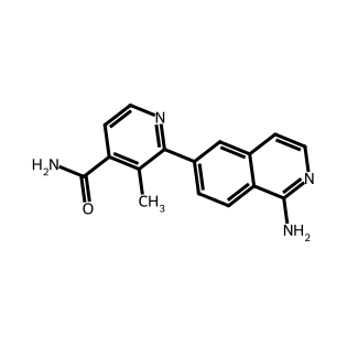 Cc1c(C(N)=O)ccnc1-c1ccc2c(N)nccc2c1